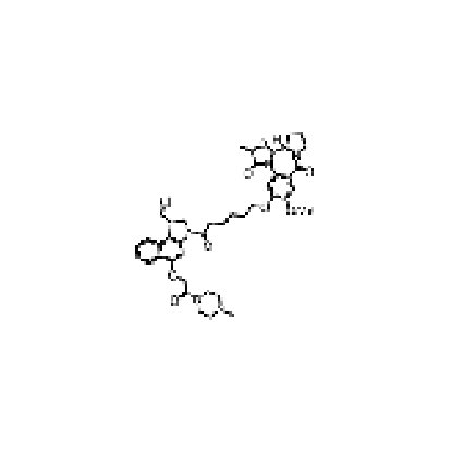 COc1cc2c(cc1OCCCCCC(=O)N1CC(CCl)c3c1cc(OCC(=O)N1CCN(C)CC1)c1ccccc31)N1C(=O)C(C)OC1[C@@H]1CCCN1C2=O